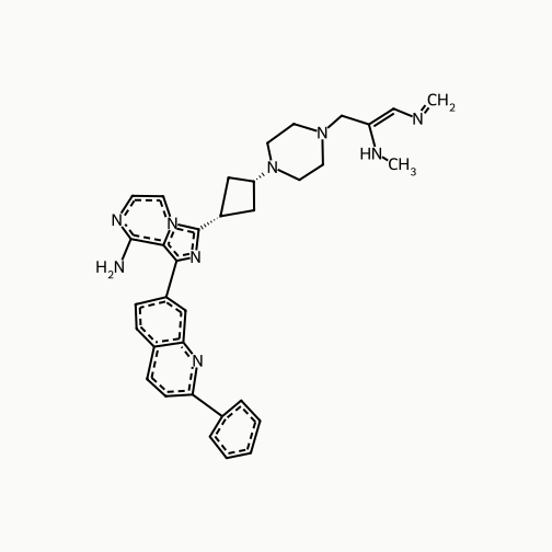 C=N/C=C(/CN1CCN([C@H]2C[C@@H](c3nc(-c4ccc5ccc(-c6ccccc6)nc5c4)c4c(N)nccn43)C2)CC1)NC